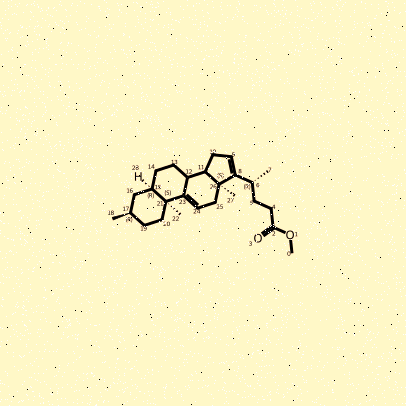 COC(=O)CC[C@@H](C)C1=CCC2C3CC[C@@H]4C[C@H](C)CC[C@]4(C)C3=CC[C@]12C